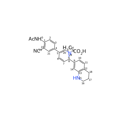 CC(=O)Nc1ccc(-c2ccc(-c3ccc4c(c3)NCCC4)nc2)cc1C#N.CC(=O)O